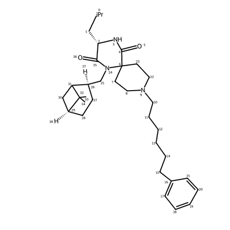 CC(C)C[C@@H]1NC(=O)C2(CCN(CCCCCCc3ccccc3)CC2)N(C[C@H]2CC[C@H]3CC2C3(C)C)C1=O